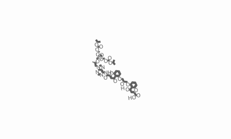 CC(C)OC(=O)OCOP(=O)(CO[C@H](C)Cn1cnc2c(NC(=O)c3cc(=O)c4c(OCC(O)COc5cccc6oc(C(=O)O)cc(=O)c56)cccc4o3)ncnc21)OCOC(=O)OC(C)C